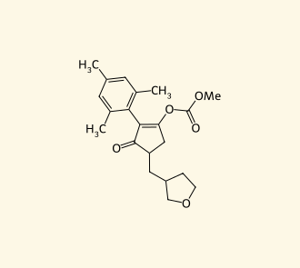 COC(=O)OC1=C(c2c(C)cc(C)cc2C)C(=O)C(CC2CCOC2)C1